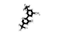 Cc1cc(-c2ncc(C(F)(F)F)cc2Cl)cc(C(F)(F)F)c1